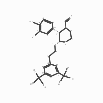 O=C[C@H]1CCO[C@H](OCCc2cc(C(F)(F)F)cc(C(F)(F)F)c2)[C@@H]1c1ccc(F)c(F)c1